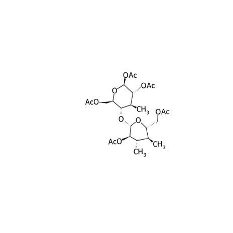 CC(=O)OC[C@H]1O[C@@H](O[C@H]2[C@H](C)[C@@H](OC(C)=O)[C@H](OC(C)=O)O[C@@H]2COC(C)=O)[C@H](OC(C)=O)[C@@H](C)[C@@H]1C